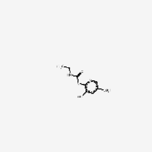 O=C(O)CNC(=O)Oc1ncc(C(=O)O)cc1O